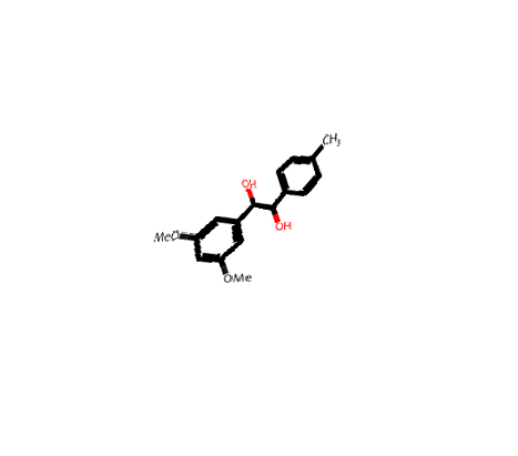 COc1cc(OC)cc(C(O)C(O)c2ccc(C)cc2)c1